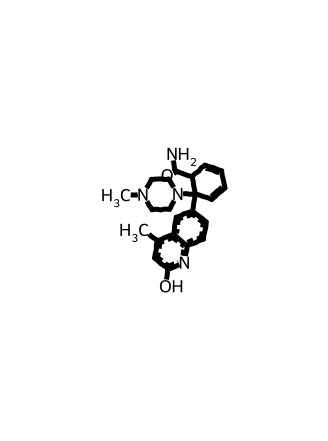 Cc1cc(O)nc2ccc(C3(N4CCN(C)CC4)C=CC=CC3C(N)=O)cc12